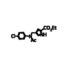 CCOC(=O)c1cc(CN(C(C)=O)c2ccc(Cl)cc2)c[nH]1